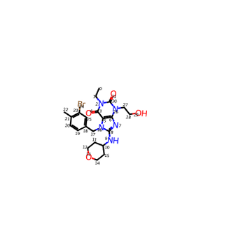 CCn1c(=O)c2c(nc(NC3CCOCC3)n2Cc2ccc(C)c(Br)c2)n(CCO)c1=O